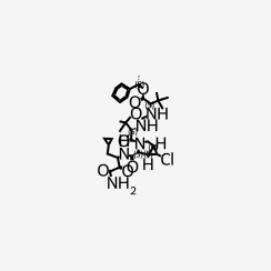 C[C@H](OC(=O)[C@@H](NC(=O)N[C@H](C(=O)N1C[C@@H]2C(Cl)[C@@H]2[C@H]1C(=O)NC(CC1CC1)C(=O)C(N)=O)C(C)(C)C)C(C)(C)C)c1ccccc1